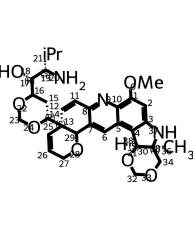 COc1cc2c(c3cc4c(nc13)C=C[C@@]1([C@H]3CC([C@H](O)[C@@H](N)C(C)C)OCO3)C=CCOC41)[C@@H]1OCOC[C@]1(C)N2